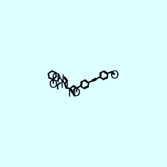 CC(OC1CCCCO1)c1nccn1Cc1cc(-c2ccc(C#Cc3ccc(C=O)cc3)cc2)on1